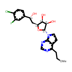 COCCc1ncnc2c1ccn2[C@@H]1O[C@@H](C[C@@H](O)c2ccc(Cl)c(F)c2)[C@@H](O)[C@H]1O